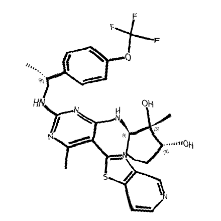 Cc1nc(N[C@H](C)c2ccc(OC(F)(F)F)cc2)nc(N[C@@H]2CC[C@@H](O)[C@@]2(C)O)c1-c1nc2cnccc2s1